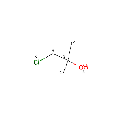 [CH2]C(C)(O)CCl